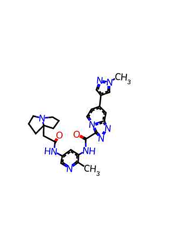 Cc1ncc(NC(=O)CC23CCCN2CCC3)cc1NC(=O)c1nnc2cc(-c3cnn(C)c3)ccn12